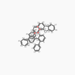 CC1(N(c2cccc(-c3ccccc3)c2-c2ccccc2-c2ccccc2)c2cccc3c2oc2ccccc23)C=CC(c2ccccc2)=CC1